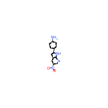 Nc1ccc(-c2cc3cc([N+](=O)[O-])cnc3[nH]2)cc1